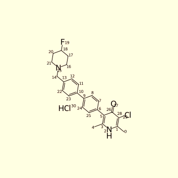 Cc1[nH]c(C)c(-c2ccc(-c3ccc(CN4CCC(F)CC4)cc3)cc2)c(=O)c1Cl.Cl